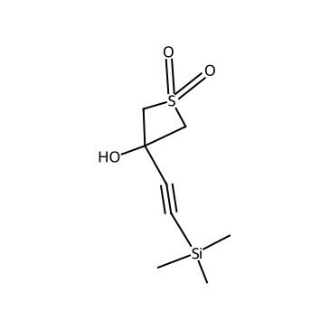 C[Si](C)(C)C#CC1(O)CS(=O)(=O)C1